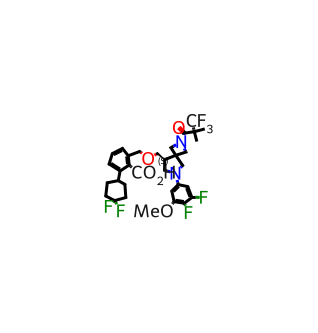 COc1cc(N2C[C@@H](COCc3cccc(C4CCC(F)(F)CC4)c3C(=O)O)C3(CN(C(=O)C(C)(C)C(F)(F)F)C3)C2)cc(F)c1F